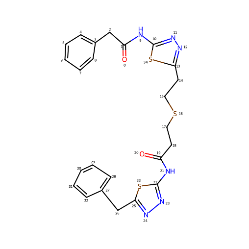 O=C(Cc1ccccc1)Nc1nnc(CCSCCC(=O)Nc2nnc(Cc3ccccc3)s2)s1